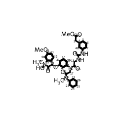 COC(=O)Cc1cccc(NC(=O)NCC(=O)N(CC(=O)N(C)c2ccccc2)c2cccc(OCC(=O)[N+](C)(O)c3cccc(OC)c3)c2)c1